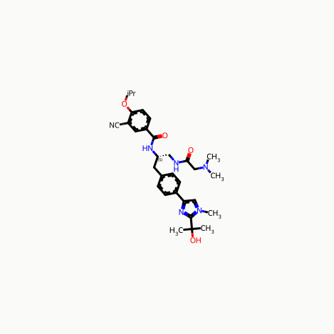 CC(C)Oc1ccc(C(=O)N[C@H](CNC(=O)CN(C)C)Cc2ccc(-c3cn(C)c(C(C)(C)O)n3)cc2)cc1C#N